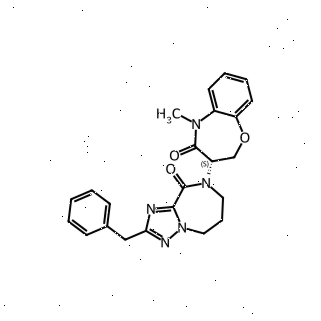 CN1C(=O)[C@@H](N2CCCn3nc(Cc4ccccc4)nc3C2=O)COc2ccccc21